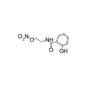 O=C(NCCO[N+](=O)[O-])c1ccccc1O